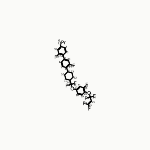 CCCc1ccc(-c2ccc(C3CCC(C(F)(F)Oc4ccc(OC(F)(F)C=C(F)F)c(F)c4)CC3)c(F)c2)c(F)c1